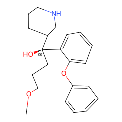 COCCC[C@@](O)(c1ccccc1Oc1ccccc1)C1CCCNC1